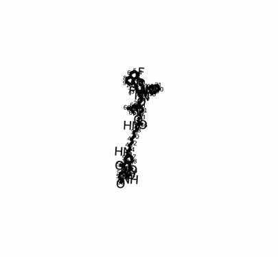 C#Cc1c(F)ccc2cccc(-c3ncc4c(N5CC6CCC(C5)N6)nc(OC[C@@]56CC[C@@H](COC(=O)NCCCCCCCNc7ccc8c(c7)C(=O)N(C7CCC(=O)NC7=O)C8=O)N5CC(=C)C6)nc4c3F)c12